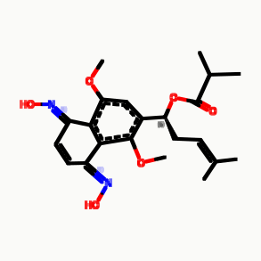 COc1cc([C@H](CC=C(C)C)OC(=O)C(C)C)c(OC)c2c1/C(=N/O)C=C/C2=N\O